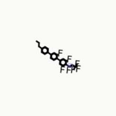 CCCc1ccc(-c2ccc(-c3cc(F)c(/C(F)=C/C(F)(F)F)c(F)c3)c(F)c2)cc1